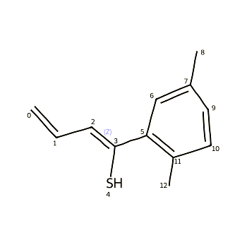 C=C/C=C(\S)c1cc(C)ccc1C